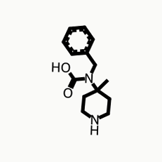 CC1(N(Cc2ccccc2)C(=O)O)CCNCC1